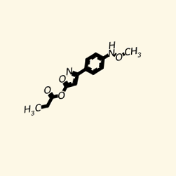 CCC(=O)Oc1cc(-c2ccc(NOC)cc2)no1